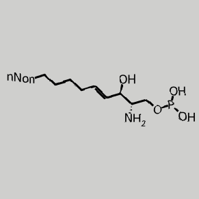 CCCCCCCCCCCCC/C=C/[C@@H](O)[C@@H](N)COP(O)O